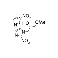 COCC(O)Cn1ccnc1[N+](=O)[O-].O=[N+]([O-])n1ccnc1